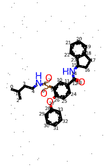 CC(C)CCNS(=O)(=O)c1cc(C(=O)NC2CCc3ccccc32)ccc1Oc1ccccc1